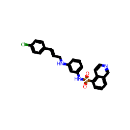 O=S(=O)(Nc1cccc(NC/C=C/c2ccc(Cl)cc2)c1)c1cccc2cnccc12